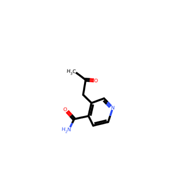 CC(=O)Cc1cnccc1C(N)=O